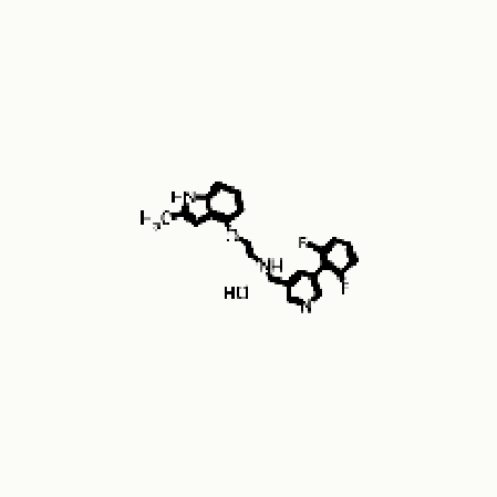 Cc1cc2c(OCCNCc3cncc(-c4c(F)cccc4F)c3)cccc2[nH]1.Cl